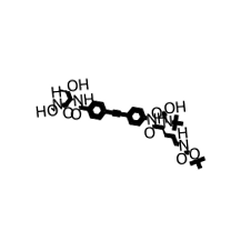 C[C@@H](O)[C@H](NC(=O)c1ccc(C#Cc2ccc(NC(=O)[C@H](CCCNC(=O)OC(C)(C)C)N(C(=O)O)C(C)(C)C)cc2)cc1)C(=O)NO